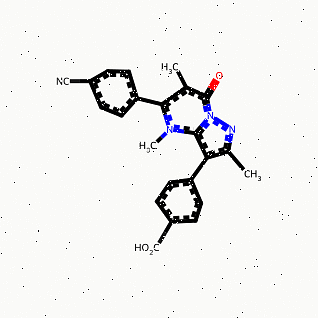 Cc1nn2c(=O)c(C)c(-c3ccc(C#N)cc3)n(C)c2c1-c1ccc(C(=O)O)cc1